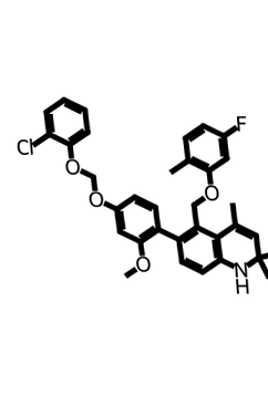 COc1cc(OCOc2ccccc2Cl)ccc1-c1ccc2c(c1COc1cc(F)ccc1C)C(C)=CC(C)(C)N2